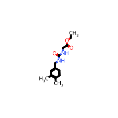 CCOC(=O)CNC(=O)NCc1ccc(C)c(C)c1